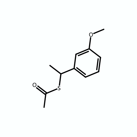 COc1cccc(C(C)SC(C)=O)c1